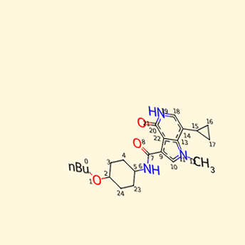 CCCCOC1CCC(NC(=O)c2cn(C)c3c(C4CC4)c[nH]c(=O)c23)CC1